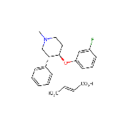 CN1CC[C@@H](Oc2cccc(F)c2)[C@H](c2ccccc2)C1.O=C(O)C=CC(=O)O